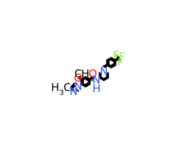 COc1cc(C(=O)NC2CCCN(Cc3ccc(C(F)(F)F)cc3)C2)ccc1-n1cnc(C)c1